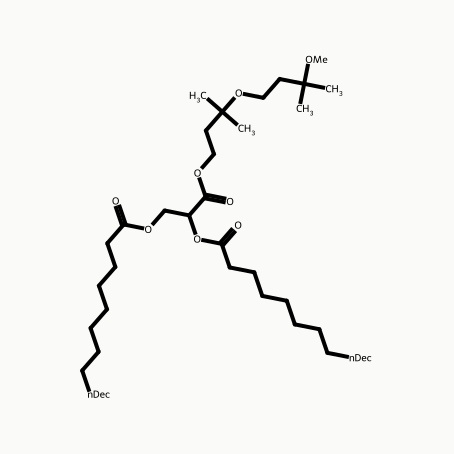 CCCCCCCCCCCCCCCCCC(=O)OCC(OC(=O)CCCCCCCCCCCCCCCCC)C(=O)OCCC(C)(C)OCCC(C)(C)OC